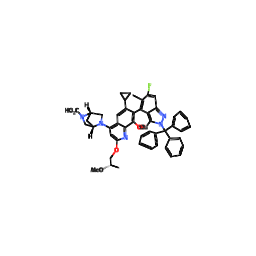 CO[C@@H](C)COc1cc(N2C[C@@H]3C[C@H]2CN3C(=O)O)c2cc(C3CC3)c(-c3c(C)c(F)cc4nn(C(c5ccccc5)(c5ccccc5)c5ccccc5)c(C(C)(C)C)c34)c(O)c2n1